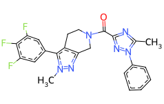 Cc1nc(C(=O)N2CCc3c(nn(C)c3-c3cc(F)c(F)c(F)c3)C2)nn1-c1ccccc1